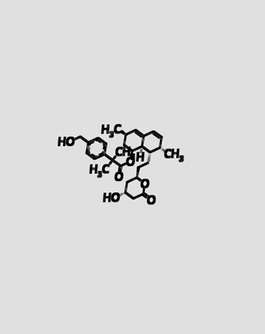 C[C@H]1C=C2C=C[C@H](C)[C@H](CC[C@@H]3C[C@@H](O)CC(=O)O3)[C@H]2[C@@H](OC(=O)C(C)(C)c2ccc(CO)cc2)C1